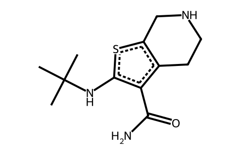 CC(C)(C)Nc1sc2c(c1C(N)=O)CCNC2